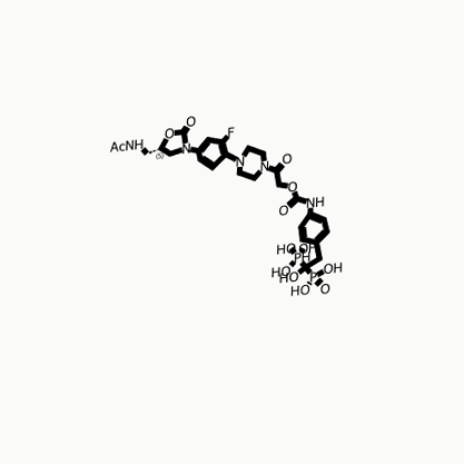 CC(=O)NC[C@H]1CN(c2ccc(N3CCN(C(=O)COC(=O)Nc4ccc(CC(O)(P(=O)(O)O)[PH](O)(O)O)cc4)CC3)c(F)c2)C(=O)O1